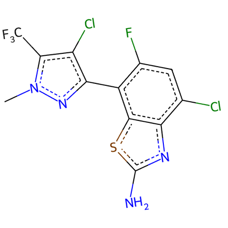 Cn1nc(-c2c(F)cc(Cl)c3nc(N)sc23)c(Cl)c1C(F)(F)F